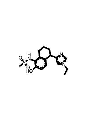 CCn1cnc(C2CCCc3c2ccc(O)c3NS(C)(=O)=O)c1